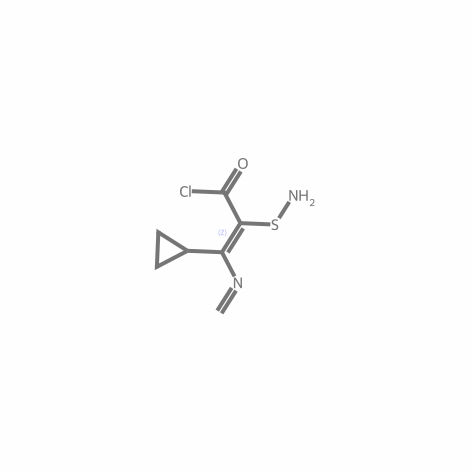 C=N/C(=C(\SN)C(=O)Cl)C1CC1